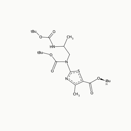 CC[C@H](C)OC(=O)c1sc(N(CC(C)NC(=O)OC(C)(C)C)C(=O)OC(C)(C)C)nc1C